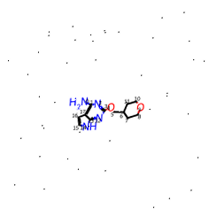 Nc1nc(OCC2CCOCC2)nc2[nH]ccc12